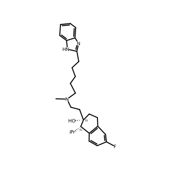 CC(C)[C@H]1c2ccc(F)cc2CC[C@]1(O)CCN(C)CCCCCc1nc2ccccc2[nH]1